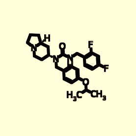 CC(C)Oc1ccc(CN(C(=O)NCc2ccc(F)cc2F)[C@@H]2CCN3CCC[C@H]3C2)cc1